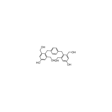 OCc1cc(O)cc(CO)c1Cc1ccc(Cc2c(CO)cc(O)cc2CO)cc1